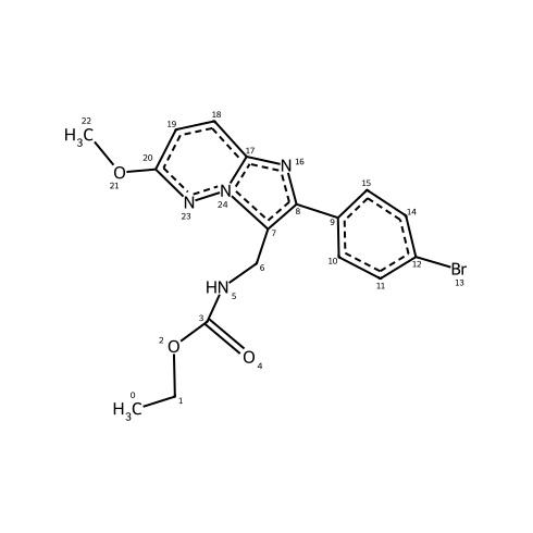 CCOC(=O)NCc1c(-c2ccc(Br)cc2)nc2ccc(OC)nn12